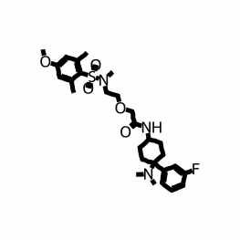 COc1cc(C)c(S(=O)(=O)N(C)CCOCC(=O)NC2CCC(c3cccc(F)c3)(N(C)C)CC2)c(C)c1